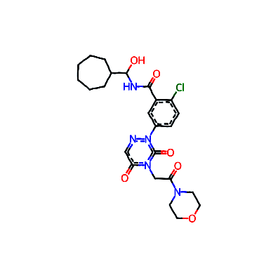 O=C(NC(O)C1CCCCCC1)c1cc(-n2ncc(=O)n(CC(=O)N3CCOCC3)c2=O)ccc1Cl